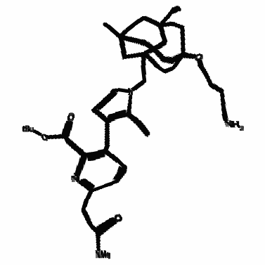 CNC(=O)Cc1ccc(-c2ccn(CC34CC5(C)CC(C)(C3)CC(OCCN)(C5)C4)c2C)c(C(=O)OC(C)(C)C)n1